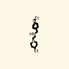 CCOc1ccc(CNCCN2CCC(CC)CC2)cc1